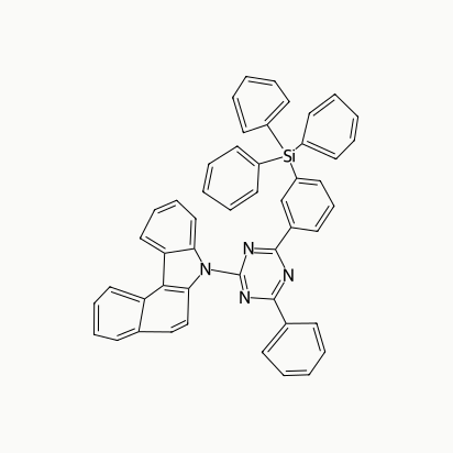 c1ccc(-c2nc(-c3cccc([Si](c4ccccc4)(c4ccccc4)c4ccccc4)c3)nc(-n3c4ccccc4c4c5ccccc5ccc43)n2)cc1